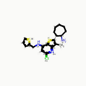 Cc1c([C@@H]2CCCCC[C@H]2N)sc2c(NCc3cccs3)cc(Cl)nc12